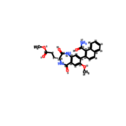 COC(=O)CC[C@H]1NC(=O)c2cc(OC)c(-c3ccc4ccccc4c3C(N)=O)cc2NC1=O